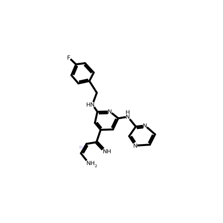 N=C(/C=C\N)c1cc(NCc2ccc(F)cc2)nc(Nc2cnccn2)c1